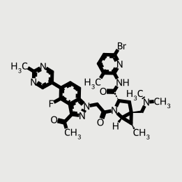 CC(=O)c1nn(CC(=O)N2[C@H]3[C@@H](C)[C@@]3(CN(C)C)C[C@H]2C(=O)Nc2nc(Br)ccc2C)c2ccc(-c3cnc(C)nc3)c(F)c12